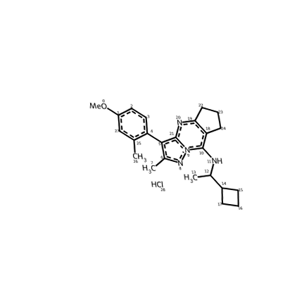 COc1ccc(-c2c(C)nn3c(NC(C)C4CCC4)c4c(nc23)CCC4)c(C)c1.Cl